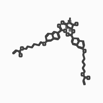 C=CC(=O)OCCCCCCOc1ccc2cc(C(=O)O[C@@H]3C(=O)N(C)C(=O)[C@H]3OC(=O)c3ccc4cc(OCCCCCCOC(=O)C=C)ccc4c3)ccc2c1